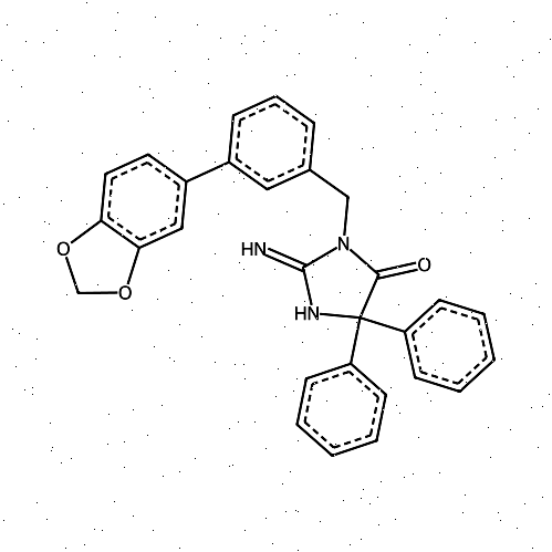 N=C1NC(c2ccccc2)(c2ccccc2)C(=O)N1Cc1cccc(-c2ccc3c(c2)OCO3)c1